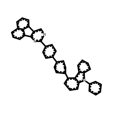 c1ccc(-n2c3ccccc3c3c(-c4ccc(-c5ccc(-c6ncc7c(n6)-c6cccc8cccc-7c68)cc5)cc4)cccc32)cc1